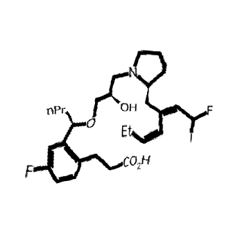 CC/C=C\C(=C/C(F)I)C[C@@H]1CCCN1C[C@@H](O)CO[C@H](CCC)c1cc(F)ccc1CCC(=O)O